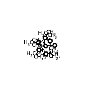 CC(C)(C)c1ccc(N2c3ccc(C(C)(C)C)cc3B3c4ccc(C(C)(C)C)cc4N(c4cccc(C(C)(C)C)c4)c4cc(C(C)(c5ccccc5)c5ccccc5)cc2c43)cc1